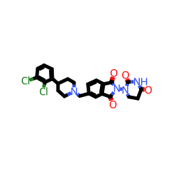 O=C1CCN(N2C(=O)c3ccc(CN4CCC(c5cccc(Cl)c5Cl)CC4)cc3C2=O)C(=O)N1